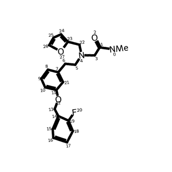 CNC(=O)CN(CCc1cccc(OCc2ccccc2F)c1)Cc1ccco1